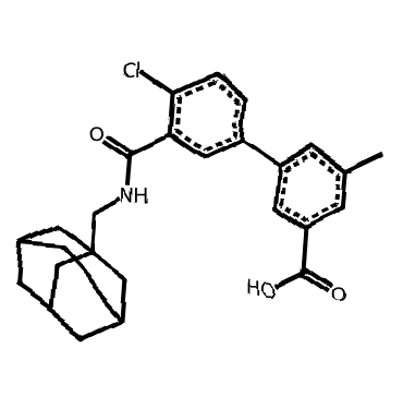 Cc1cc(C(=O)O)cc(-c2ccc(Cl)c(C(=O)NCC34CC5CC(CC(C5)C3)C4)c2)c1